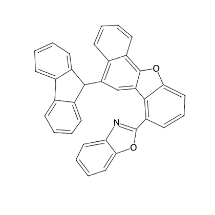 c1ccc2c(c1)-c1ccccc1C2c1cc2c(oc3cccc(-c4nc5ccccc5o4)c32)c2ccccc12